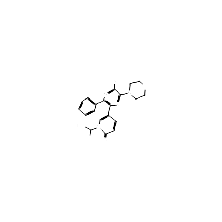 CC(C)n1cc(-c2nc(N3CCOCC3)c(N)nc2-c2ccccc2)ccc1=O